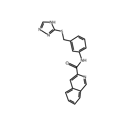 O=C(Nc1cccc(CSc2nnc[nH]2)c1)c1cc2ccccc2cn1